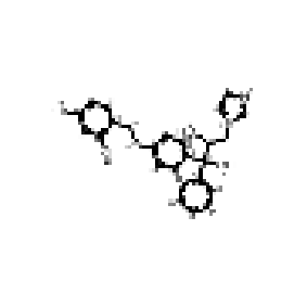 CC(Cn1ccnc1)C(O)(c1ccccc1)c1ccc(SCc2ccc(Cl)cc2Cl)cc1